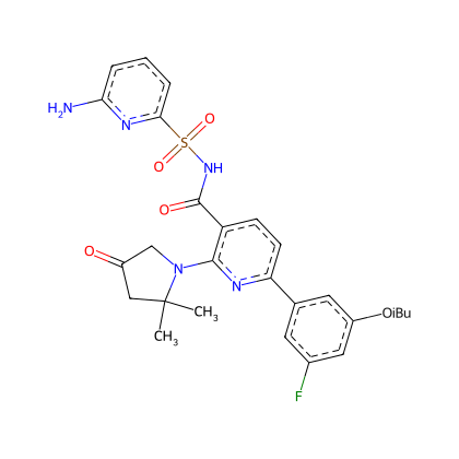 CC(C)COc1cc(F)cc(-c2ccc(C(=O)NS(=O)(=O)c3cccc(N)n3)c(N3CC(=O)CC3(C)C)n2)c1